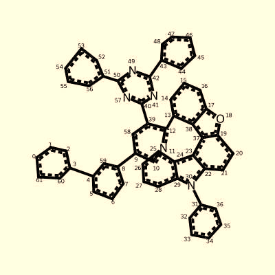 c1ccc(-c2cccc(-c3cnc(-c4cccc5oc6ccc7c(c8ccccc8n7-c7ccccc7)c6c45)c(-c4nc(-c5ccccc5)nc(-c5ccccc5)n4)c3)c2)cc1